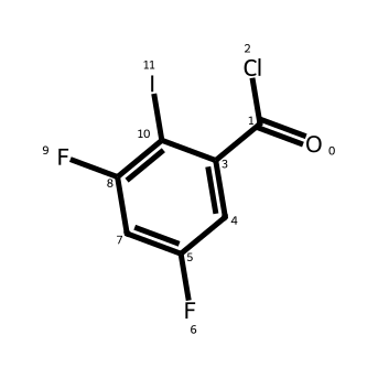 O=C(Cl)c1cc(F)cc(F)c1I